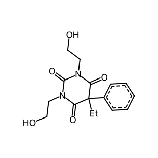 CCC1(c2ccccc2)C(=O)N(CCO)C(=O)N(CCO)C1=O